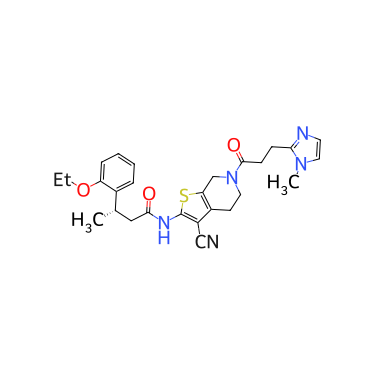 CCOc1ccccc1[C@@H](C)CC(=O)Nc1sc2c(c1C#N)CCN(C(=O)CCc1nccn1C)C2